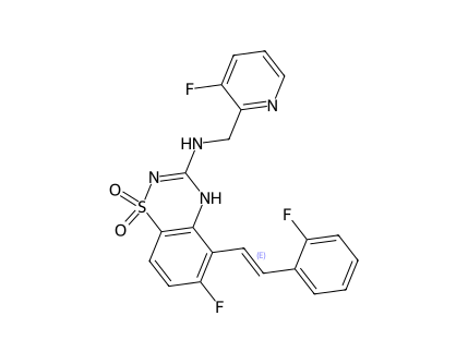 O=S1(=O)N=C(NCc2ncccc2F)Nc2c1ccc(F)c2/C=C/c1ccccc1F